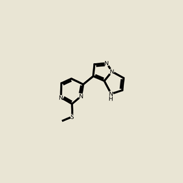 CSc1nccc(-c2cnn3cc[nH]c23)n1